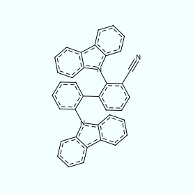 N#Cc1cccc(-c2ccccc2-n2c3ccccc3c3ccccc32)c1-n1c2ccccc2c2ccccc21